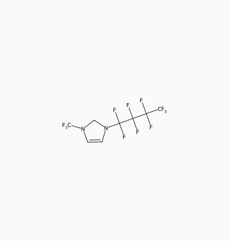 FC(F)(F)N1C=CN(C(F)(F)C(F)(F)C(F)(F)C(F)(F)F)C1